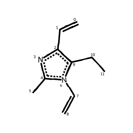 C=Cc1nc(C)n(C=C)c1CC